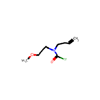 C=CCN(CCOC)C(=O)Cl